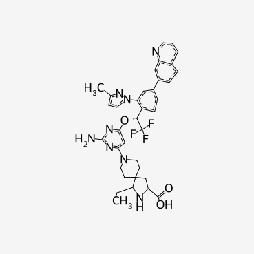 CCC1NC(C(=O)O)CC12CCN(c1cc(O[C@H](c3ccc(-c4ccc5cccnc5c4)cc3-n3ccc(C)n3)C(F)(F)F)nc(N)n1)CC2